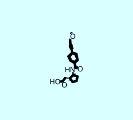 COCC#Cc1ccc(C(=O)N[C@H]2CCC[C@H]2CC(=O)O)cc1